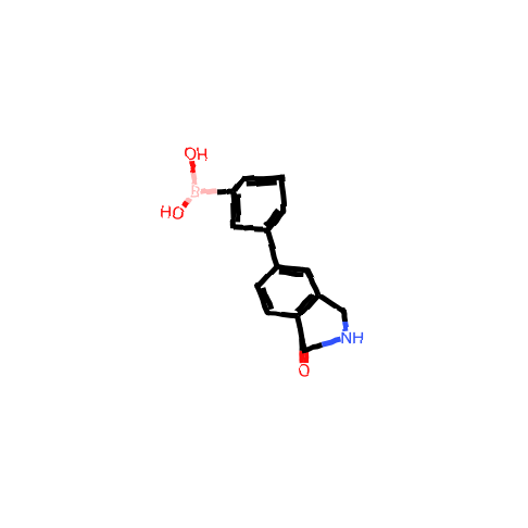 O=C1NCc2cc(-c3cccc(B(O)O)c3)ccc21